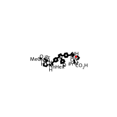 CCCCCCOc1ccc(-n2c(-c3ccc(-c4c[nH]c([C@@H]5CCCN5C(=O)[C@@H](NC(=O)OC)C(C)C)n4)cc3)ccc2-c2ccc(-c3c[nH]c([C@@H]4CCCN4C(=O)[C@H](C(C)C)N(C)C(=O)O)n3)cc2)cc1